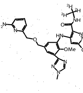 [2H]C([2H])([2H])NC(=O)c1nnc(Cl)cc1Nc1cc(COCc2cccc(N)n2)cc(-c2ncn(C)n2)c1OC